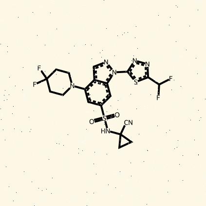 N#CC1(NS(=O)(=O)c2cc(N3CCC(F)(F)CC3)c3cnn(-c4nnc(C(F)F)s4)c3c2)CC1